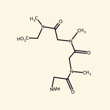 CNCC(=O)N(C)CC(=O)N(C)CC(=O)N(C)CC(=O)O